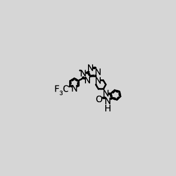 Cn1c(-c2ccc(C(F)(F)F)nc2)nc2c(N3CCC(n4c(=O)[nH]c5ccccc54)CC3)ncnc21